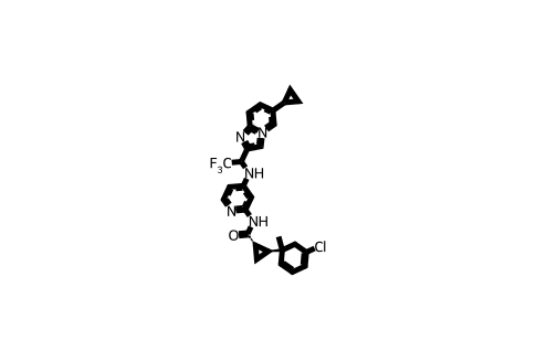 CC1([C@H]2C[C@@H]2C(=O)Nc2cc(NC(c3cn4cc(C5CC5)ccc4n3)C(F)(F)F)ccn2)C=CC=C(Cl)C1